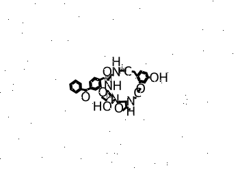 CC(C)C1NCCOc2cc(O)ccc2CC[C@@H](C)NC(=O)[C@@H](Cc2ccc(C(=O)c3ccccc3)cc2)NC(=O)[C@H](C(C)O)N(C)C1=O